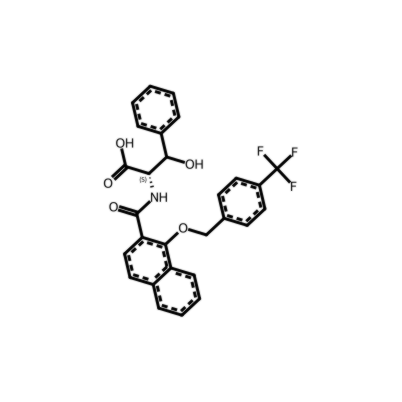 O=C(N[C@H](C(=O)O)C(O)c1ccccc1)c1ccc2ccccc2c1OCc1ccc(C(F)(F)F)cc1